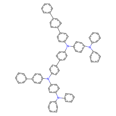 c1ccc(-c2ccc(-c3ccc(N(c4ccc(-c5ccc(N(c6ccc(-c7ccccc7)cc6)c6ccc(N(c7ccccc7)c7ccccc7)cc6)cc5)cc4)c4ccc(N(c5ccccc5)c5ccccc5)cc4)cc3)cc2)cc1